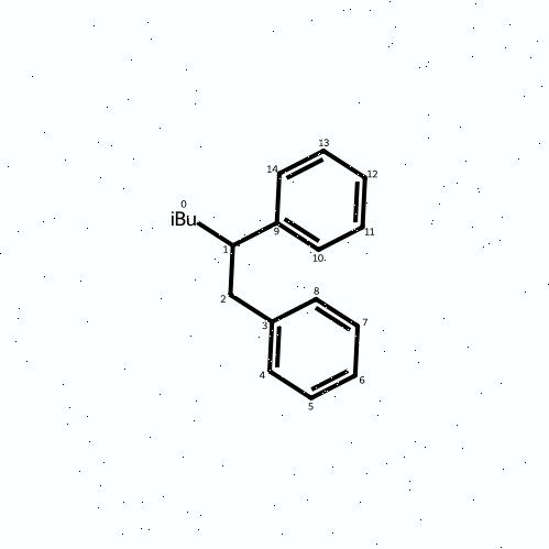 CCC(C)[C](Cc1ccccc1)c1ccccc1